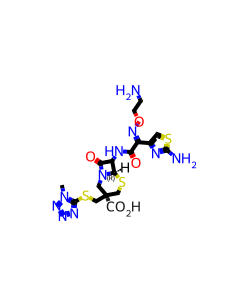 Cn1nnnc1SCC1(C(=O)O)CS[C@@H]2C(NC(=O)C(=NOCCN)c3csc(N)n3)C(=O)N2C1